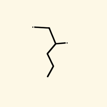 [CH2]CC([CH2])CCC